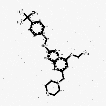 CCOc1cc(CN2CCOCC2)nc2nc(NCc3ccc(C(C)(C)C)cc3)nn12